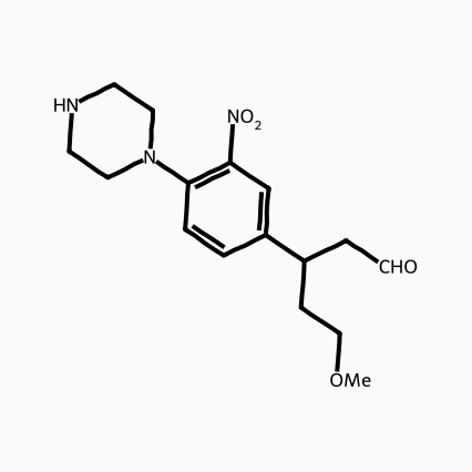 COCCC(CC=O)c1ccc(N2CCNCC2)c([N+](=O)[O-])c1